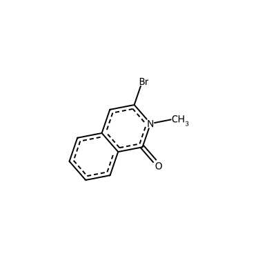 Cn1c(Br)cc2ccccc2c1=O